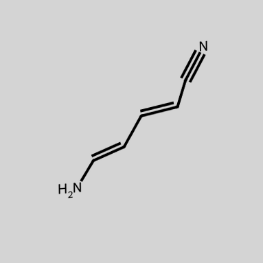 N#C/C=C/C=C/N